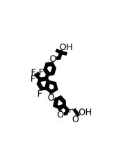 CC(C)(O)COc1ccc(-c2c(C(F)(F)F)cc(F)c3c2CC[C@H]3Oc2ccc3c(c2)OC[C@H]3CC(=O)O)cc1